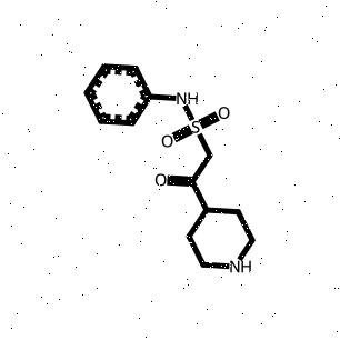 O=C(CS(=O)(=O)Nc1ccccc1)C1CCNCC1